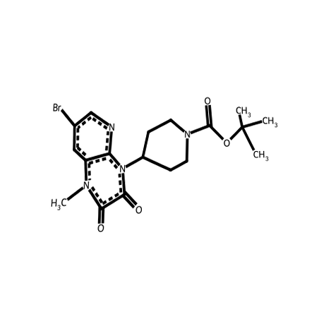 Cn1c(=O)c(=O)n(C2CCN(C(=O)OC(C)(C)C)CC2)c2ncc(Br)cc21